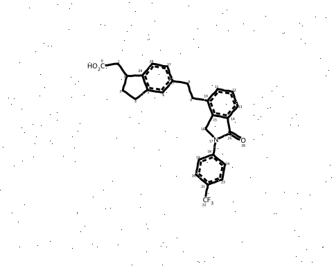 O=C(O)CC1CCc2cc(CCc3cccc4c3CN(c3ccc(C(F)(F)F)cc3)C4=O)ccc21